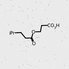 CC(C)CCC(=O)OCCC(=O)O